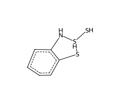 S[SH]1Nc2ccccc2S1